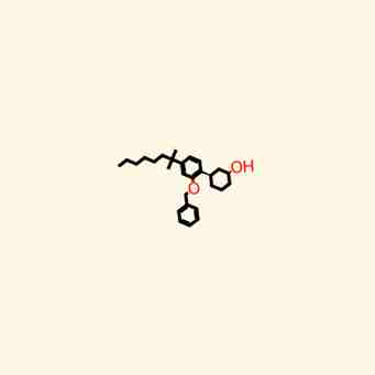 CCCCCCC(C)(C)c1ccc([C@@H]2CCC[C@H](O)C2)c(OCc2ccccc2)c1